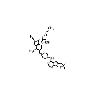 CCCOCC(O)(CO)Cn1c(C#N)cc2c(C)c(CN3CCC(Nc4ncnc5sc(CC(F)(F)F)cc45)CC3)ccc21